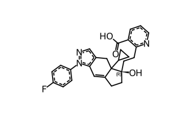 O=C(O)c1cccnc1CC[C@]1(O)CCC2=Cc3c(cnn3-c3ccc(F)cc3)CC21C1CC1